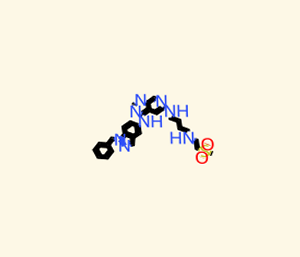 CS(=O)(=O)CCNCCCCNc1cc2c(Nc3ccc4c(cnn4Cc4ccccc4)c3)ncnc2cn1